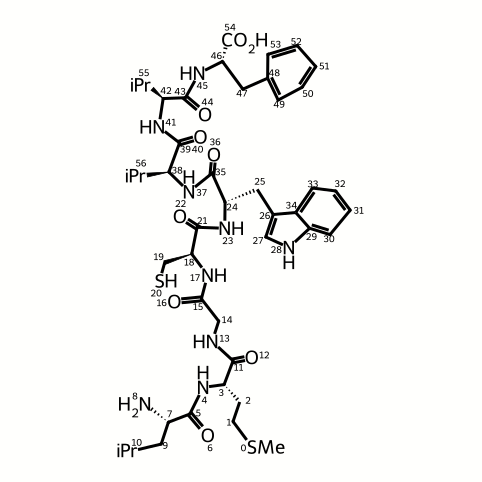 CSCC[C@H](NC(=O)[C@@H](N)CC(C)C)C(=O)NCC(=O)N[C@@H](CS)C(=O)N[C@@H](Cc1c[nH]c2ccccc12)C(=O)N[C@H](C(=O)N[C@H](C(=O)N[C@@H](Cc1ccccc1)C(=O)O)C(C)C)C(C)C